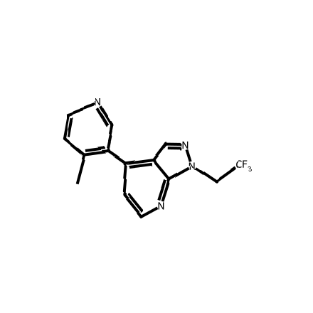 Cc1ccncc1-c1ccnc2c1cnn2CC(F)(F)F